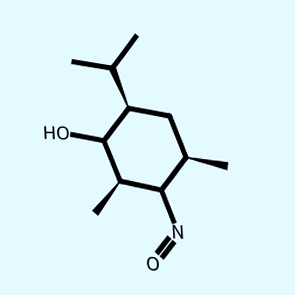 CC(C)[C@H]1C[C@@H](C)C(N=O)[C@@H](C)C1O